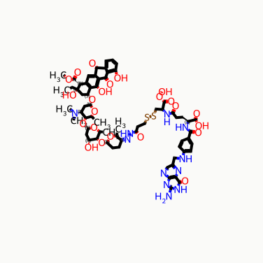 CC[C@@]1(O)C[C@H](O[C@H]2C[C@@H](N(C)C)C(O[C@H]3C[C@@H](O)C(O[C@H]4CC/C(=N/NC(=O)CCSSCC(NC(=O)CC[C@H](NC(=O)c5ccc(NCc6cnc7nc(N)[nH]c(=O)c7n6)cc5)C(=O)O)C(=O)OO)C(C)O4)C(C)O3)C(C)O2)c2c(cc3c(c2O)C(=O)c2c(O)cccc2C3=O)[C@H]1C(=O)OC